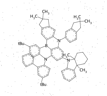 CC1(C)Cc2ccc(N3c4cc5c(cc4B4c6cc(C(C)(C)C)ccc6N(c6ccc(C(C)(C)C)cc6-c6ccccc6)c6cc(N7c8ccccc8C8(C)CCCCC78C)cc3c64)CC(C)(C)C5)cc2C1